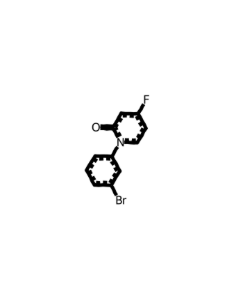 O=c1cc(F)ccn1-c1cccc(Br)c1